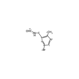 Cc1ncc(Br)cc1CNC=O